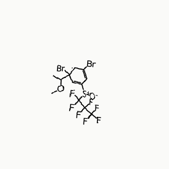 COC(C)C1(Br)[CH]C(Br)=CC([S+]([O-])C(F)(F)C(F)(F)C(F)(F)F)=C1